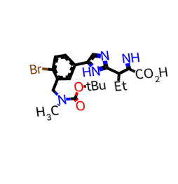 CCC(C(=N)C(=O)O)c1ncc(-c2ccc(Br)c(CN(C)C(=O)OC(C)(C)C)c2)[nH]1